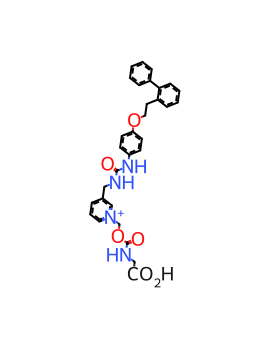 O=C(O)CNC(=O)OC[n+]1cccc(CNC(=O)Nc2ccc(OCCc3ccccc3-c3ccccc3)cc2)c1